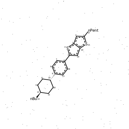 CCCCCc1cc2sc(-c3ccc([C@H]4CC[C@H](CCCC)CC4)cc3)cc2s1